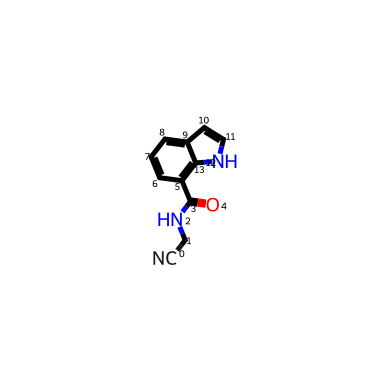 N#CCNC(=O)c1cccc2cc[nH]c12